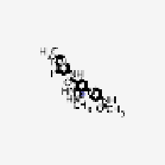 CN/C=C1\C(=N)C(C(=O)Nc2cc(F)c3nc(C)cn3c2)=CC=C1N1CCC(NC(C)=O)CC1